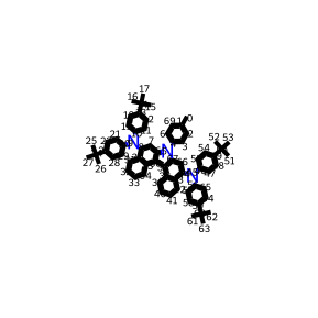 Cc1ccc(-n2c3cc(N(c4ccc(C(C)(C)C)cc4)c4ccc(C(C)(C)C)cc4)c4ccccc4c3c3c4ccccc4c(N(c4ccc(C(C)(C)C)cc4)c4ccc(C(C)(C)C)cc4)cc32)cc1